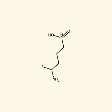 NC(F)CCC[PH](=O)O